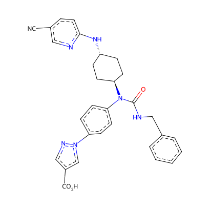 N#Cc1ccc(N[C@H]2CC[C@H](N(C(=O)NCc3ccccc3)c3ccc(-n4cc(C(=O)O)cn4)cc3)CC2)nc1